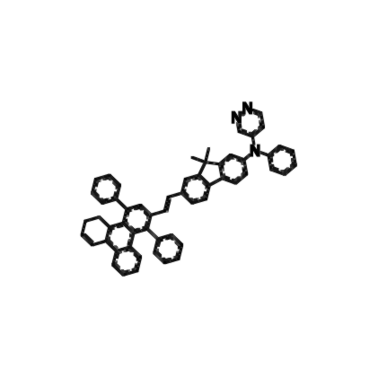 CC1(C)c2cc(/C=C/c3cc(-c4ccccc4)c4c5c(c6ccccc6c4c3-c3ccccc3)C=CCC5)ccc2-c2ccc(N(c3ccccc3)c3ccnnc3)cc21